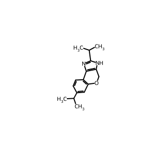 CC(C)c1ccc2c(c1)OCc1[nH]c(C(C)C)nc1-2